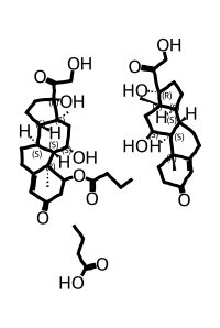 CCCC(=O)O.CCCC(=O)OC1CC(=O)C=C2CC[C@@H]3[C@H]([C@@H](O)C[C@@]4(C)[C@H]3CC[C@]4(O)C(=O)CO)[C@]21C.C[C@]12CCC(=O)C=C1CC[C@@H]1[C@@H]2[C@@H](O)C[C@@]2(C)[C@H]1CC[C@]2(O)C(=O)CO